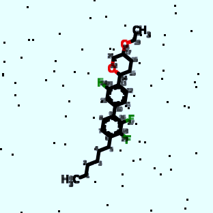 CCCCCCc1ccc(-c2ccc(C3CCC(OCC)CO3)c(F)c2)c(F)c1F